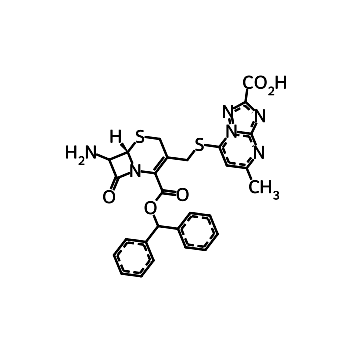 Cc1cc(SCC2=C(C(=O)OC(c3ccccc3)c3ccccc3)N3C(=O)C(N)[C@@H]3SC2)n2nc(C(=O)O)nc2n1